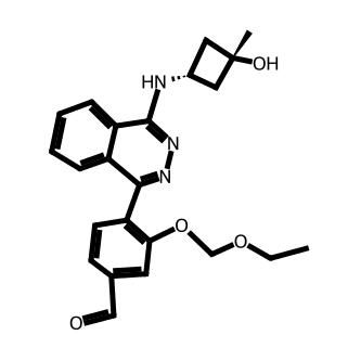 CCOCOc1cc(C=O)ccc1-c1nnc(N[C@H]2C[C@@](C)(O)C2)c2ccccc12